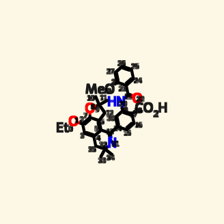 CCOc1cc2c(c3c1OC(C)(C)C3)C(c1ccc(C(=O)O)c(NC(=O)c3ccccc3OC)c1)=NC(C)(C)C2